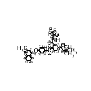 Cc1cc(COc2ccc(C(=O)N[C@@H]3CCN(C(=O)CC(C)(C)C)C[C@H]3C(=O)NOC(=O)C(F)(F)F)cc2)c2ccccc2n1